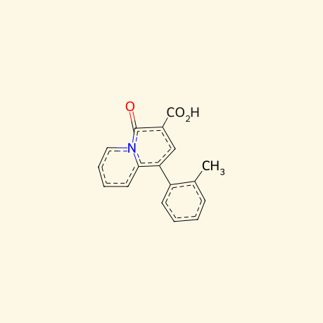 Cc1ccccc1-c1cc(C(=O)O)c(=O)n2ccccc12